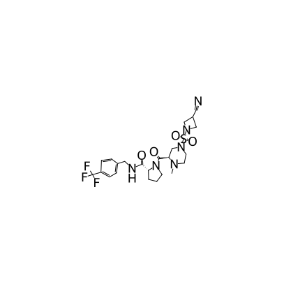 CN1CCN(S(=O)(=O)N2CC(C#N)C2)C[C@@H]1C(=O)N1CCC[C@@H]1C(=O)NCc1ccc(C(F)(F)F)cc1